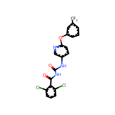 O=C(NC(=O)c1c(Cl)cccc1Cl)Nc1ccc(Oc2cccc(C(F)(F)F)c2)nc1